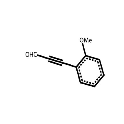 COc1ccccc1C#CC=O